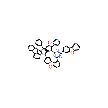 c1ccc2c(c1)-c1ccccc1C21c2ccccc2-c2ccc(-c3ccc4oc5cccc(-c6nc(-c7ccc8c(c7)oc7ccccc78)nc(-c7cccc8oc9ccccc9c78)n6)c5c4c3)cc21